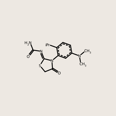 CC(C)c1ccc(N(C)C)cc1N1C(=O)CSC1=NC(N)=O